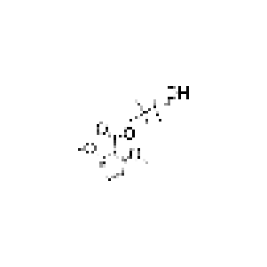 COc1cccc(OC)c1C(=O)OCC(C)(C)C(C)(C)CO